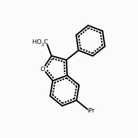 CC(C)c1ccc2oc(C(=O)O)c(-c3ccccc3)c2c1